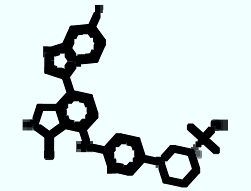 CC(C)(O)[C@@H]1CCCN(c2ccc(Nc3ccc(-c4cnc5cc(F)ccn45)c4c3C(=O)NC4)nc2)C1